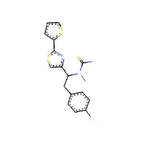 NC(=S)N(I)C(Cc1ccc([N+](=O)[O-])cc1)c1csc(-c2cccs2)n1